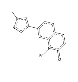 CC(C)n1c(=O)ccc2ccc(-c3cnn(C)c3)cc21